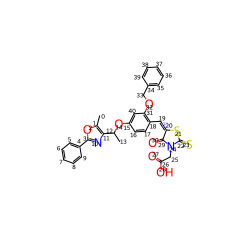 Cc1oc(-c2ccccc2)nc1C(C)Oc1ccc(/C=C2/SC(=S)N(CC(=O)O)C2=O)c(OCc2ccccc2)c1